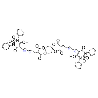 O=C1OC2(CCC3(CC2)OC(=O)C(=C/C=C/C=C/C2=C(O)N(c4ccccc4)S(=O)(=O)N(c4ccccc4)C2=O)C(=O)O3)OC(=O)C1=C/C=C/C=C/C1=C(O)N(c2ccccc2)S(=O)(=O)N(c2ccccc2)C1=O